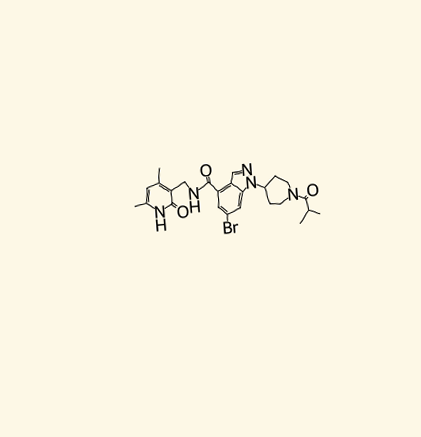 Cc1cc(C)c(CNC(=O)c2cc(Br)cc3c2cnn3C2CCN(C(=O)C(C)C)CC2)c(=O)[nH]1